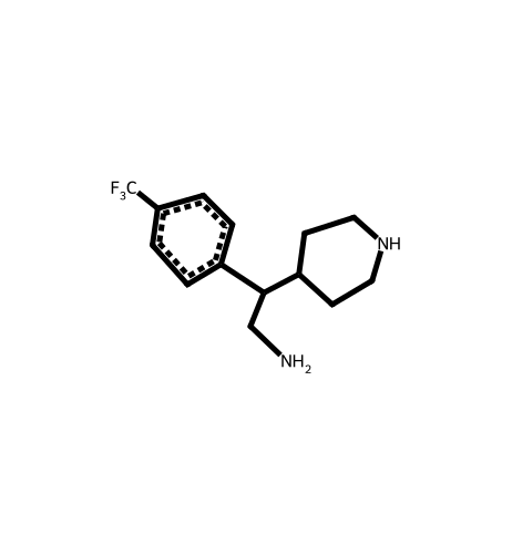 NCC(c1ccc(C(F)(F)F)cc1)C1CCNCC1